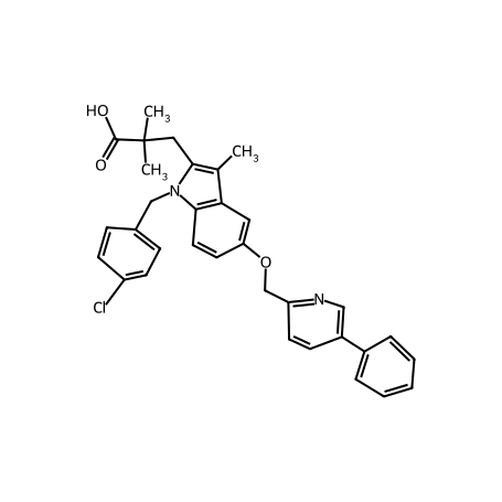 Cc1c(CC(C)(C)C(=O)O)n(Cc2ccc(Cl)cc2)c2ccc(OCc3ccc(-c4ccccc4)cn3)cc12